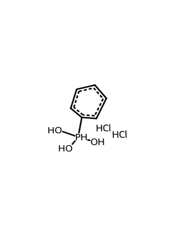 Cl.Cl.O[PH](O)(O)c1ccccc1